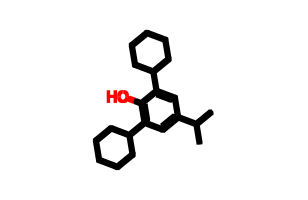 CC(C)c1cc(C2CCCCC2)c(O)c(C2CCCCC2)c1